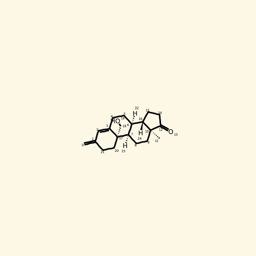 C=C1C=C2CC[C@@H]3[C@@H](CC[C@]4(C)C(=O)CC[C@@H]34)[C@@]2(CO)CC1